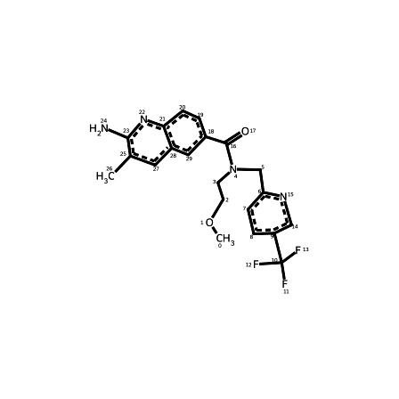 COCCN(Cc1ccc(C(F)(F)F)cn1)C(=O)c1ccc2nc(N)c(C)cc2c1